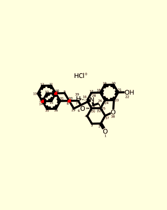 Cl.O=C1CC[C@@]2(OCCCc3ccccc3)[C@H]3Cc4ccc(O)c5c4[C@@]2(CCN3CCc2ccccc2)C1O5